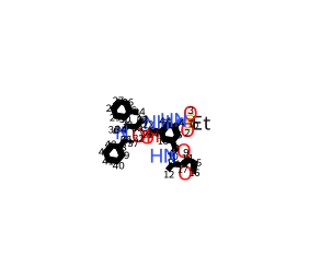 CCS(=O)(=O)Nc1cc(C(=O)NC(C)c2ccco2)cc(C(=O)N[C@@H](Cc2ccccc2)[C@H](O)CN(C)[C@@H](C)c2ccccc2)c1